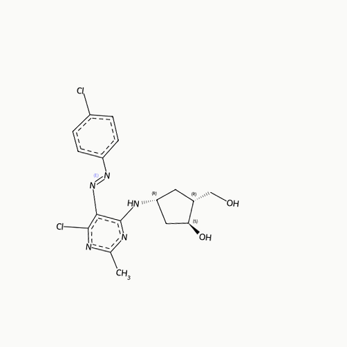 Cc1nc(Cl)c(/N=N/c2ccc(Cl)cc2)c(N[C@@H]2C[C@H](CO)[C@@H](O)C2)n1